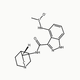 C[S+]([O-])Nc1cccc2[nH]nc(C(=O)N[C@@H]3CN4CCC3CC4)c12